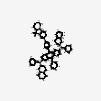 CC1(C)c2cc(-c3ccc(-c4c5ccc(N(c6ccccc6)c6ccc7ccccc7c6)cc5c(-c5ccccc5)c5ccc(N(c6ccccc6)c6ccc7ccccc7c6)cc45)cc3)ccc2C2C=CC=CC21